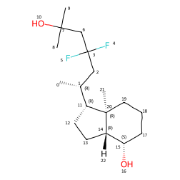 C[C@H](CC(F)(F)CC(C)(C)O)[C@H]1CC[C@H]2[C@@H](O)CCC[C@]12C